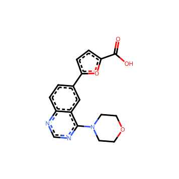 O=C(O)c1ccc(-c2ccc3ncnc(N4CCOCC4)c3c2)o1